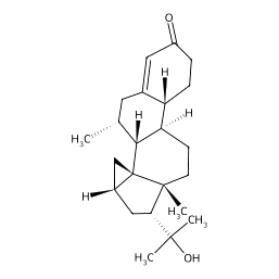 C[C@@H]1CC2=CC(=O)CC[C@@H]2[C@H]2CC[C@]3(C)[C@H](C(C)(C)O)C[C@@H]4C[C@]43[C@@H]21